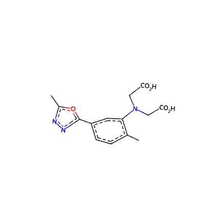 Cc1nnc(-c2ccc(C)c(N(CC(=O)O)CC(=O)O)c2)o1